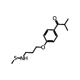 CSNCCCOc1ccc(C(=O)C(C)C)cc1